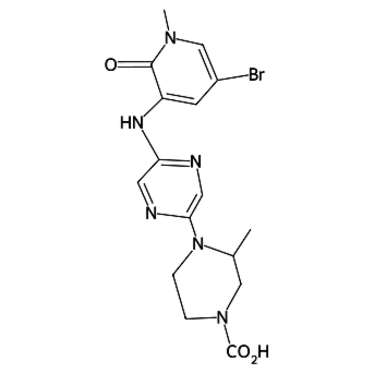 CC1CN(C(=O)O)CCN1c1cnc(Nc2cc(Br)cn(C)c2=O)cn1